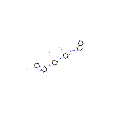 COc1cc(S(=O)(=O)O)cc2c1nc1c(C#N)c(C)c(N=Nc3cc(C)c(N=Nc4cc(NC(C)=O)c(N=Nc5nc6c(S(=O)(=O)O)cc7c(S(=O)(=O)O)cc(S(=O)(=O)O)cc7c6s5)cc4SCCCS(=O)(=O)O)cc3OCCCS(=O)(=O)O)c(O)n12